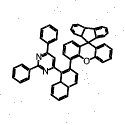 C1=CC2C=CC(c3cccc4c3Oc3ccccc3C43c4ccccc4C4C=CC=CC43)=C(c3cc(-c4ccccc4)nc(-c4ccccc4)n3)C2C=C1